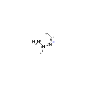 C/C=N\N(C)N